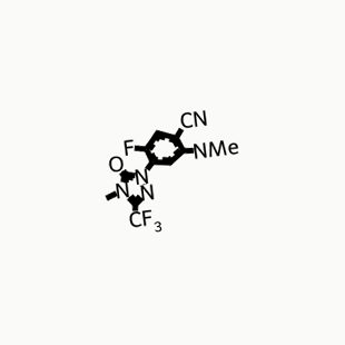 CNc1cc(-n2nc(C(F)(F)F)n(C)c2=O)c(F)cc1C#N